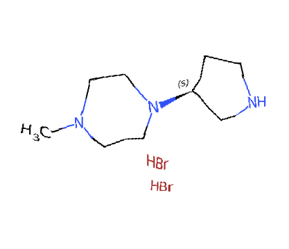 Br.Br.CN1CCN([C@H]2CCNC2)CC1